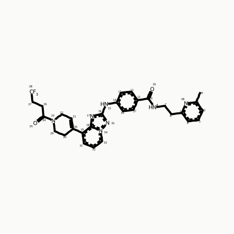 Cc1cccc(CCNC(=O)c2ccc(Nc3nc4c(C5=CCN(C(=O)CCC(F)(F)F)CC5)cccn4n3)cc2)n1